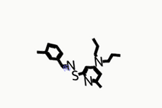 CCCN(CCC)c1cc(C)nc(S/N=C/c2cccc(C)c2)c1